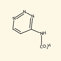 O=C(O)Nc1ccnnn1